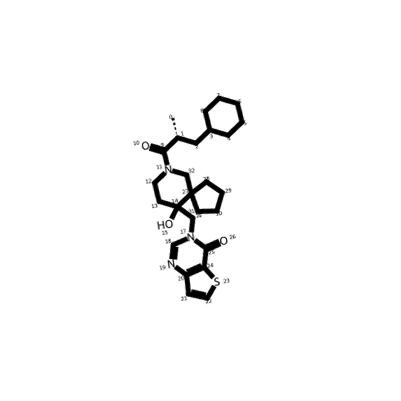 C[C@H](CC1CCCCC1)C(=O)N1CCC(O)(Cn2cnc3ccsc3c2=O)C2(CCCC2)C1